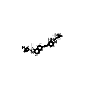 C(#Cc1ccc2nc(C3NC4CC43)[nH]c2c1)c1ccc2c(c1)CCc1nc([C@@H]3C[C@H]4CC43)[nH]c1-2